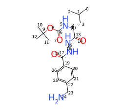 CC(C)C[C@@H](NC(=O)OC(C)(C)C)C(=O)NNC(=O)c1ccc(CN)cc1